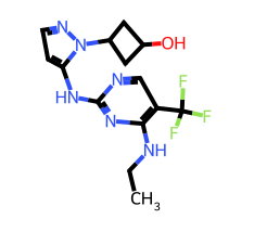 CCNc1nc(Nc2ccnn2C2CC(O)C2)ncc1C(F)(F)F